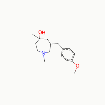 COc1ccc(CC2CN(C)CCC(C)(O)C2)cc1